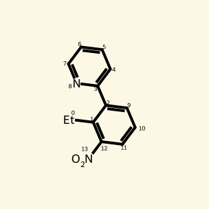 CCc1c(-c2ccccn2)cccc1[N+](=O)[O-]